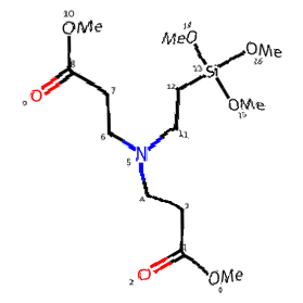 COC(=O)CCN(CCC(=O)OC)CC[Si](OC)(OC)OC